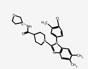 Cc1cc2nc(N3CCC(C(=O)N[C@@H]4CCOC4)CC3)n(-c3ccc(Cl)c(C)c3)c2cc1C